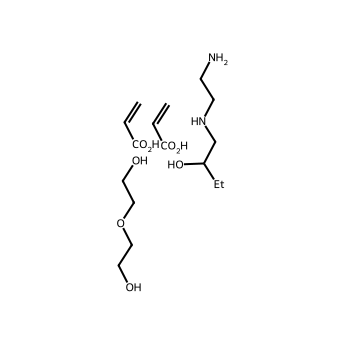 C=CC(=O)O.C=CC(=O)O.CCC(O)CNCCN.OCCOCCO